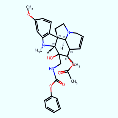 CC[C@]12C=CCN3CC[C@@]4(c5ccc(OC)cc5N(C)[C@H]4C(O)(CNC(=O)Oc4ccccc4)[C@@H]1OC(C)=O)[C@@H]32